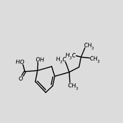 CC(C)(C)CC(C)(C)C1=CC=CC(O)(C(=O)O)C1